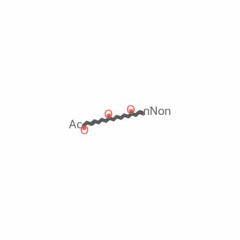 CCCCCCCCC/C=C/CC(=O)CCCCCC(=O)CCC/C=C/CC(=O)C(C)=O